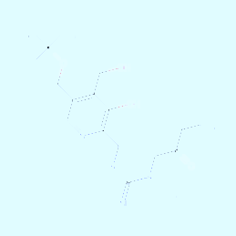 CC(C)C(=O)CN(C)C(=N)NCc1ncc(COC(C)(C)C)c(CO)c1O